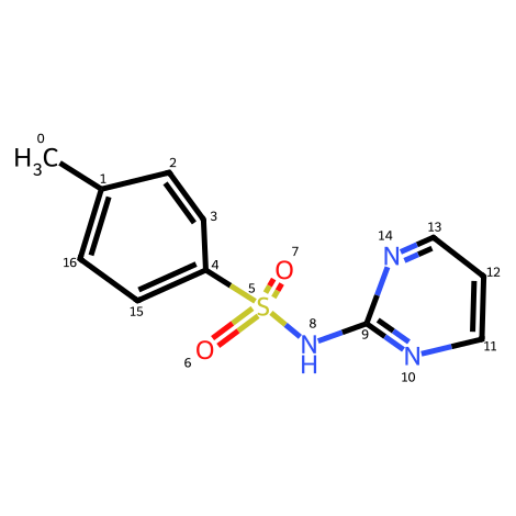 Cc1ccc(S(=O)(=O)Nc2ncccn2)cc1